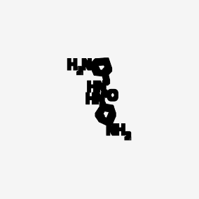 Nc1ccc(NC(=O)NCc2cccc(N)c2)cc1